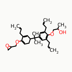 C=CCC1=CC(C(C)(C)c2cc(CC=C)c(OCC(C)O)c(CC=C)c2)CC=C1OCC1CO1